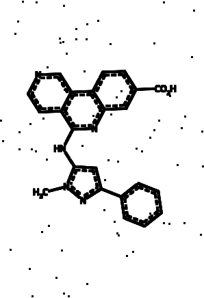 Cn1nc(-c2ccccc2)cc1Nc1nc2cc(C(=O)O)ccc2c2cnccc12